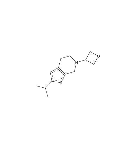 CC(C)c1cc2c(s1)CN(C1COC1)CC2